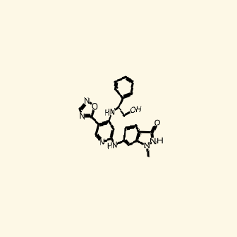 Cn1[nH]c(=O)c2ccc(Nc3cc(N[C@H](CO)c4ccccc4)c(-c4ncno4)cn3)cc21